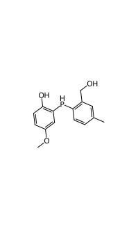 COc1ccc(O)c(Pc2ccc(C)cc2CO)c1